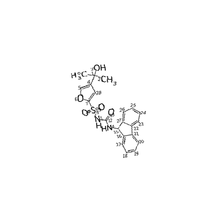 CC(C)(O)c1coc(S(=O)(=O)NC(=O)NC2c3ccccc3-c3ccccc32)c1